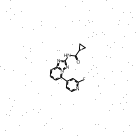 O=C(Nc1nc2cccc(-c3ccnc(F)c3)n2n1)C1CC1